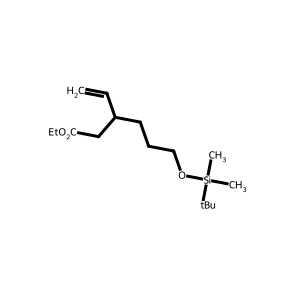 C=CC(CCCO[Si](C)(C)C(C)(C)C)CC(=O)OCC